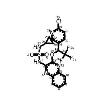 O=S(=O)(Nc1nc2ccccc2nc1OC(c1ccc(Cl)nc1)C(F)(F)F)NC1CC1